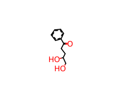 O=C(CCC(O)CO)c1ccccc1